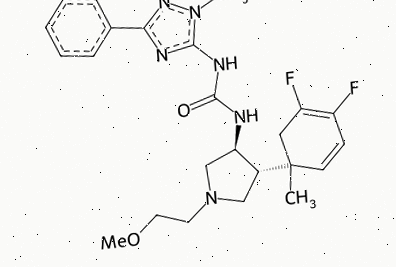 COCCN1C[C@@H](C2(C)C=CC(F)=C(F)C2)[C@H](NC(=O)Nc2nc(-c3ccccc3)nn2C)C1